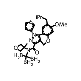 BC(B)(B)N(C(=O)c1nn(-c2ccsc2)c2c1COc1cc(OC)c(CC(C)C)cc1-2)C1(C)COC1